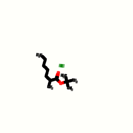 CCCCCC(C)C(=O)OC(C)(C)C.Cl